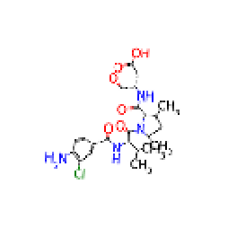 CC(C)C(NC(=O)c1ccc(N)c(Cl)c1)C(=O)N1C(C)CC(C)C1C(=O)N[C@H](C=O)CC(=O)O